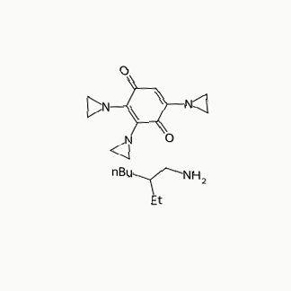 CCCCC(CC)CN.O=C1C=C(N2CC2)C(=O)C(N2CC2)=C1N1CC1